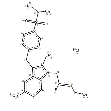 Cc1c(Cc2ccc(S(=O)(=O)N(C)C)cc2)c2cc(C(=O)O)ccc2n1C/C(F)=C/CN.Cl